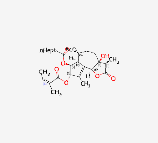 C/C=C(/C)C(=O)O[C@H]1C(C)=C2[C@@H]([C@@H]1OC(=O)CCCCCCC)[C@@H](OC(C)=O)CC[C@]1(O)[C@@H](C)C(=O)O[C@@H]21